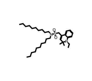 CCCCCCCCCCN(CCCCCCCCCC)S(=O)(=O)CC1=CC(C)(C)N(CC)c2ccccc21